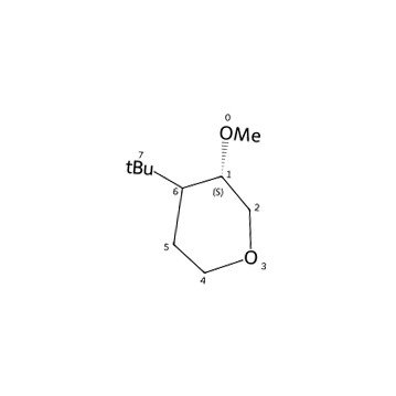 CO[C@@H]1COCCC1C(C)(C)C